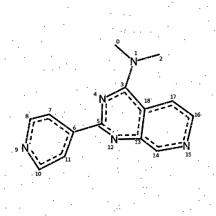 CN(C)c1nc(-c2ccncc2)nc2cnccc12